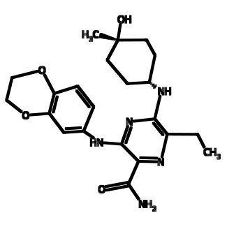 CCc1nc(C(N)=O)c(Nc2ccc3c(c2)OCCO3)nc1N[C@H]1CC[C@@](C)(O)CC1